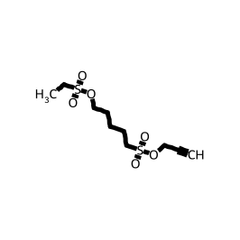 C#CCOS(=O)(=O)CCCCCOS(=O)(=O)CC